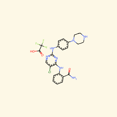 NC(=O)c1ccccc1Nc1nc(Nc2ccc(N3CCNCC3)cc2)ncc1Cl.O=C(O)C(F)(F)F